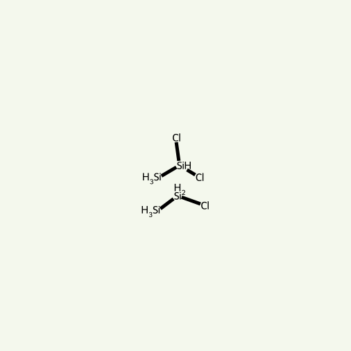 [SiH3][SiH2]Cl.[SiH3][SiH](Cl)Cl